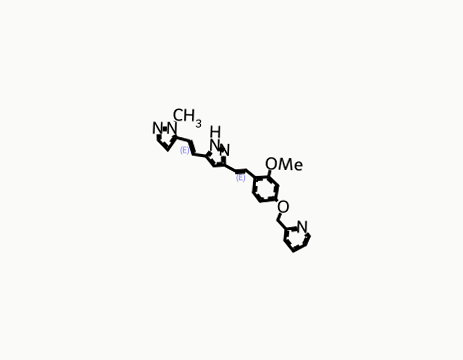 COc1cc(OCc2ccccn2)ccc1/C=C/c1cc(/C=C/c2ccnn2C)[nH]n1